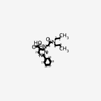 CCCN(CCC)C(=O)CNc1nc(-c2ccccc2)ncc1C(=O)O